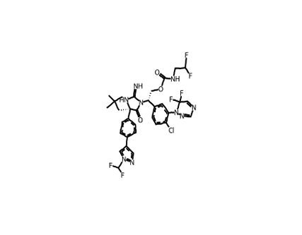 CC(C)(C)C[C@]1(c2ccc(-c3cnn(C(F)F)c3)cc2)NC(=N)N([C@H](COC(=O)NCC(F)F)c2ccc(Cl)c(N3N=CN=CC3(F)F)c2)C1=O